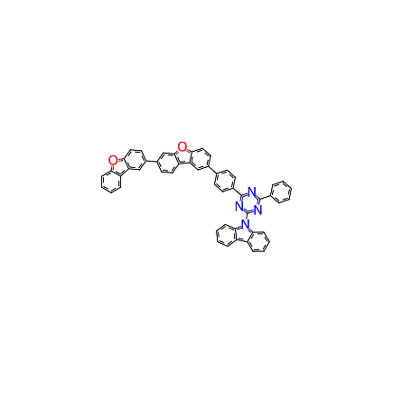 c1ccc(-c2nc(-c3ccc(-c4ccc5oc6cc(-c7ccc8oc9ccccc9c8c7)ccc6c5c4)cc3)nc(-n3c4ccccc4c4ccccc43)n2)cc1